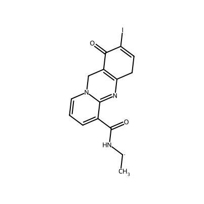 C[CH]NC(=O)C1=CC=CN2CC3=C(CC=C(I)C3=O)N=C12